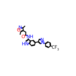 Cc1noc(C)c1CC(=O)Nc1c[nH]c2ccc(-c3cnn(-c4ccc(C(F)(F)F)cc4)c3)cc12